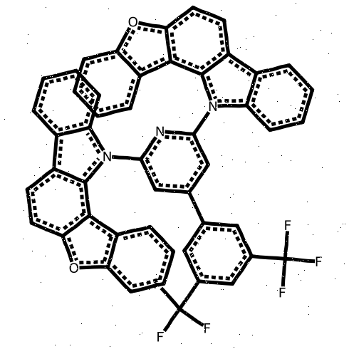 FC(F)(F)c1cc(-c2cc(-n3c4ccccc4c4ccc5oc6ccccc6c5c43)nc(-n3c4ccccc4c4ccc5oc6ccccc6c5c43)c2)cc(C(F)(F)F)c1